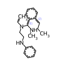 C=CN(CCNc1ccccc1)/C(NC)=c1\cccc\c1=C\CC